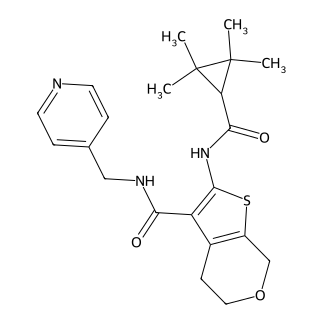 CC1(C)C(C(=O)Nc2sc3c(c2C(=O)NCc2ccncc2)CCOC3)C1(C)C